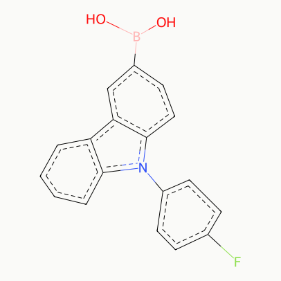 OB(O)c1ccc2c(c1)c1ccccc1n2-c1ccc(F)cc1